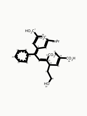 CCCC(=CC(C=C(C)C(=O)O)=C(C=C(C(=O)O)C(C=C(C)C(=O)O)CCO)c1ccccc1)C(=O)O